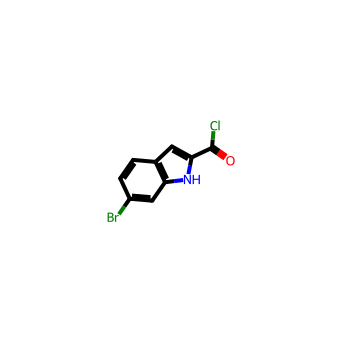 O=C(Cl)c1cc2ccc(Br)cc2[nH]1